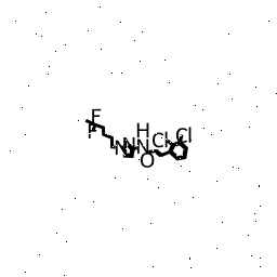 CC(F)(F)CCCCn1ccc(NC(=O)/C=C/c2cccc(Cl)c2Cl)n1